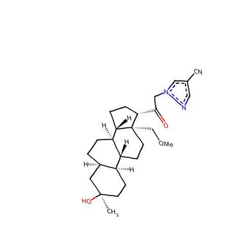 COC[C@]12CC[C@H]3[C@@H](CC[C@@H]4C[C@](C)(O)CC[C@@H]43)[C@@H]1CC[C@@H]2C(=O)Cn1cc(C#N)cn1